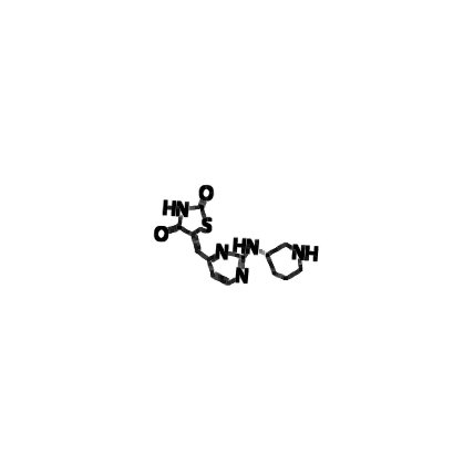 O=C1NC(=O)C(=Cc2ccnc(N[C@H]3CCCNC3)n2)S1